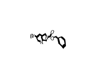 O=C(OCc1ccccc1)N1Cc2cc(Br)cnc2C1